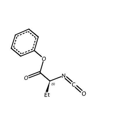 CC[C@H](N=C=O)C(=O)Oc1ccccc1